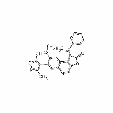 COc1cc2c(cc1-c1c(C)noc1C)ncc1oc(=O)n([C@H](C)c3ccccc3)c12